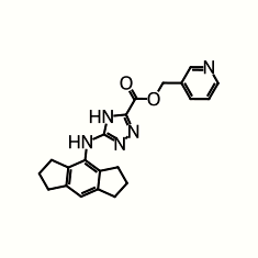 O=C(OCc1cccnc1)c1nnc(Nc2c3c(cc4c2CCC4)CCC3)[nH]1